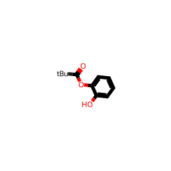 CC(C)(C)C(=O)Oc1ccccc1O